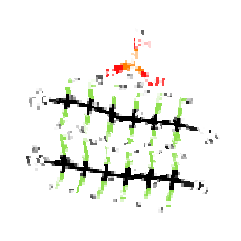 FC(F)(F)C(F)(F)C(F)(F)C(F)(F)C(F)(F)C(F)(F)C(F)(F)C(F)(F)F.FC(F)(F)C(F)(F)C(F)(F)C(F)(F)C(F)(F)C(F)(F)C(F)(F)C(F)(F)F.O=[PH](O)O